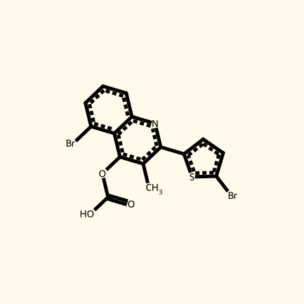 Cc1c(-c2ccc(Br)s2)nc2cccc(Br)c2c1OC(=O)O